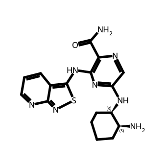 NC(=O)c1ncc(N[C@@H]2CCCC[C@@H]2N)nc1Nc1snc2ncccc12